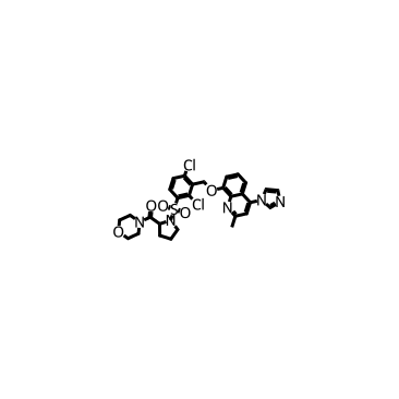 Cc1cc(-n2ccnc2)c2cccc(OCc3c(Cl)ccc(S(=O)(=O)N4CCCC4C(=O)N4CCOCC4)c3Cl)c2n1